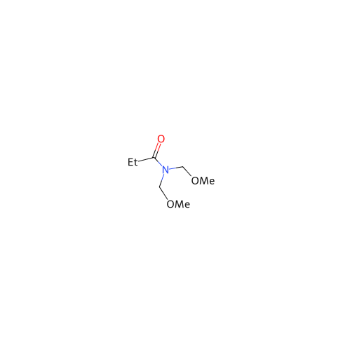 CCC(=O)N(COC)COC